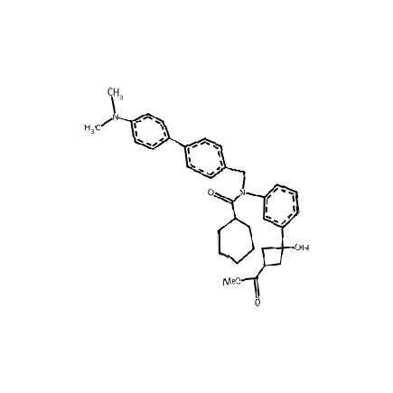 COC(=O)C1CC(O)(c2cccc(N(Cc3ccc(-c4ccc(N(C)C)cc4)cc3)C(=O)C3CCCCC3)c2)C1